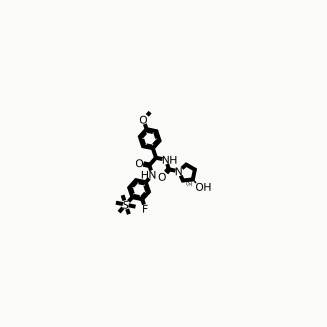 COc1ccc(C(NC(=O)N2CC[C@H](O)C2)C(=O)Nc2ccc(S(C)(C)(C)(C)C)c(F)c2)cc1